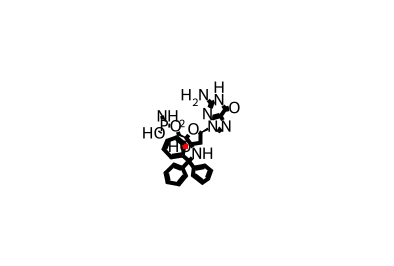 Nc1nc2c(ncn2[C@H]2C[C@@](O)(NC(c3ccccc3)(c3ccccc3)c3ccccc3)[C@@H](COP(N)O)O2)c(=O)[nH]1